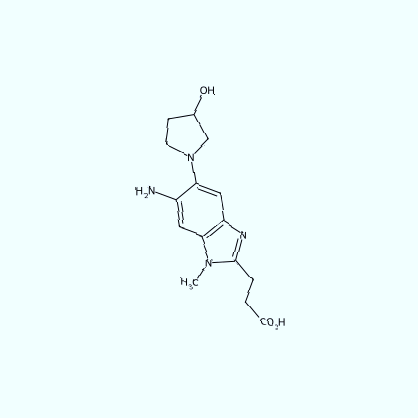 Cn1c(CCC(=O)O)nc2cc(N3CCC(O)C3)c(N)cc21